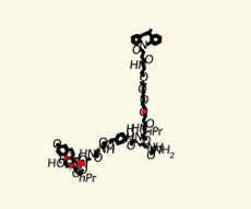 CCCC1O[C@@H]2C[C@H]3[C@@H]4CCC5=CC(=O)C=C[C@]5(C)[C@H]4[C@@H](O)C[C@]3(C)[C@]2(C(=O)COCNC(=O)CNC(=O)OCc2ccc(NC(=O)[C@H](CCCNC(N)=O)NC(=O)[C@@H](NC(=O)CCOCCOCCOCCOCCNC(=O)CCC(=O)N3Cc4ccccc4/C(C)=C\c4ccccc43)C(C)C)cc2)O1